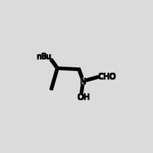 CCCCC(C)CN(O)C=O